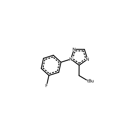 CC(C)(C)Cc1ncnn1-c1cccc(F)c1